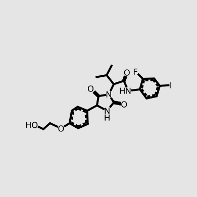 CC(C)C(C(=O)Nc1ccc(I)cc1F)N1C(=O)NC(c2ccc(OCCO)cc2)C1=O